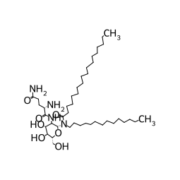 CCCCCCCCCCCCCCCCCC(=O)N(CCCCCCCCCCCCCC)[C@@H]1O[C@H](CO)[C@@H](O)[C@H](O)[C@H]1NC(=O)[C@@H](N)CCC(N)=O